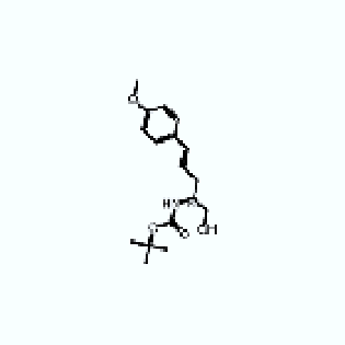 COc1ccc(C=CC[C@@H](CO)NC(=O)OC(C)(C)C)cc1